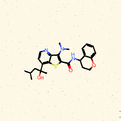 CC(C)CC(C)(O)c1ccnc2c(N(C)C)c(C(=O)NC3CCOc4ccccc43)sc12